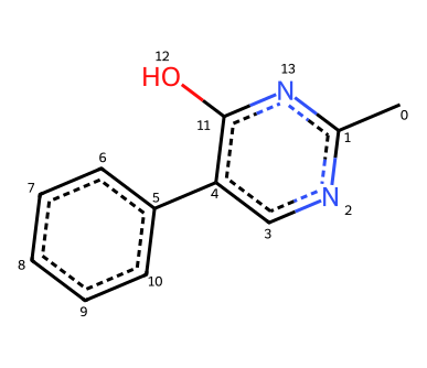 Cc1ncc(-c2ccccc2)c(O)n1